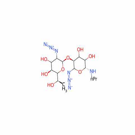 CCCN[C@@H]1OC(N=[N+]=[N-])[C@@H](O[C@H]2OC([C@@H](C)O)[C@@H](O)C(O)C2N=[N+]=[N-])C(O)C1O